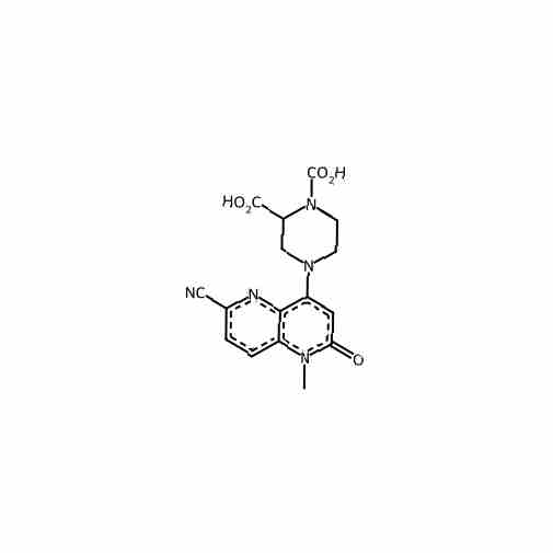 Cn1c(=O)cc(N2CCN(C(=O)O)C(C(=O)O)C2)c2nc(C#N)ccc21